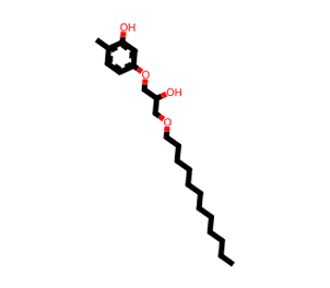 CCCCCCCCCCCCOCC(O)COc1ccc(C)c(O)c1